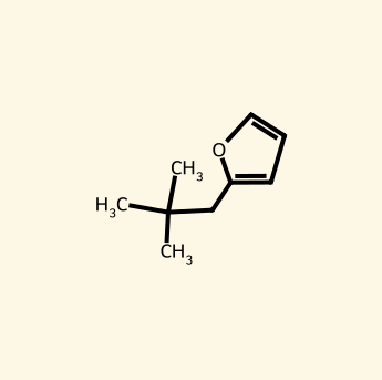 CC(C)(C)Cc1ccco1